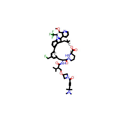 CO[C@@H](C)c1ncccc1-c1c2c3cc(ccc3n1CC(F)(F)F)-c1cc(CF)cc(c1)C[C@H](NC(=O)C(COC1CN(C(=O)C#CC(C)(C)N(C)C)C1)C(C)C)C(=O)N1CCC[C@H](N1)C(=O)OCC(C)(C)C2